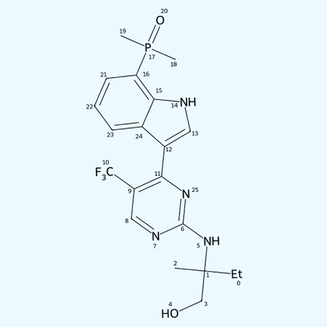 CCC(C)(CO)Nc1ncc(C(F)(F)F)c(-c2c[nH]c3c(P(C)(C)=O)cccc23)n1